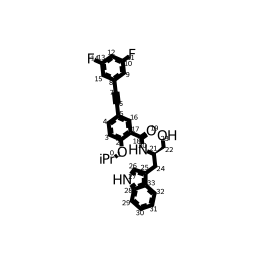 CC(C)Oc1ccc(C#Cc2cc(F)cc(F)c2)cc1C(=O)N[C@@H](CO)Cc1c[nH]c2ccccc12